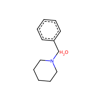 O.c1ccc(CN2CCCCC2)cc1